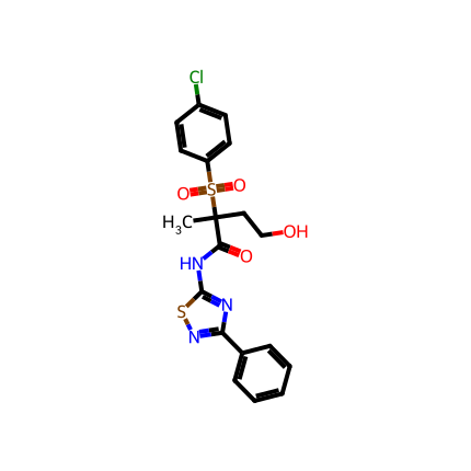 CC(CCO)(C(=O)Nc1nc(-c2ccccc2)ns1)S(=O)(=O)c1ccc(Cl)cc1